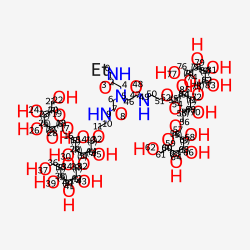 CCNC(=O)CN(CC(=O)NCCO[C@H]1O[C@H](CO[C@H]2O[C@H](CO)[C@@H](O)[C@H](O)[C@@H]2O)[C@@H](O)[C@H](O[C@H]2O[C@H](CO)[C@@H](O)[C@H](O)[C@@H]2O)[C@@H]1O)CC(=O)NCCO[C@H]1O[C@H](CO[C@H]2O[C@H](CO)[C@@H](O)[C@H](O)[C@@H]2O)[C@@H](O)[C@H](O[C@H]2O[C@H](CO)[C@@H](O)[C@H](O)[C@@H]2O)[C@@H]1O